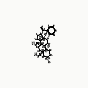 C=C(c1ccccc1)[C@H]1CCC2[C@]3(N)CC[C@]4(N)C[C@@H](C)CC[C@]4(C)C3CC[C@@]21C